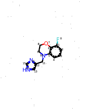 Fc1cccc2c1OCCN2Cc1c[nH]cn1